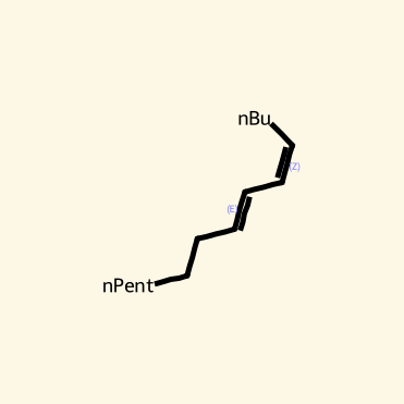 CCCC/C=C\C=C\CCCCCCC